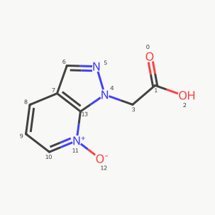 O=C(O)Cn1ncc2ccc[n+]([O-])c21